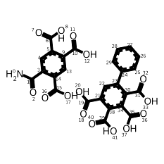 NC(=O)c1cc(C(=O)O)c(C(=O)O)cc1C(=O)O.O=C(O)c1cc(-c2ccccc2)c(C(=O)O)c(C(=O)O)c1C(=O)O